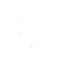 CC(C)CC(NC(=O)CNC=O)C(=O)NC(C)(C)C(=O)NC(C)(C)C(=O)NCCC(=O)NCCN1CCOCC1